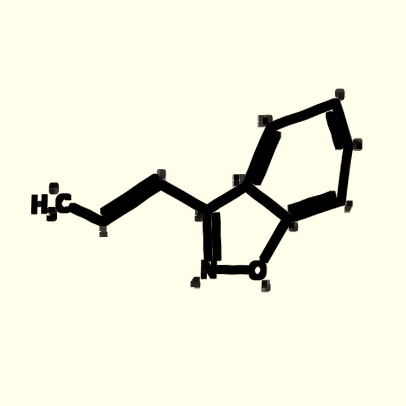 CC=Cc1noc2ccccc12